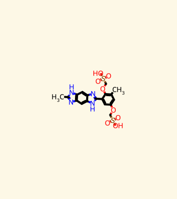 Cc1nc2cc3[nH]c(-c4cc(OCS(=O)(=O)O)cc(C)c4OCS(=O)(=O)O)nc3cc2[nH]1